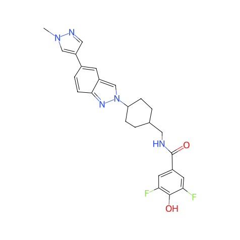 Cn1cc(-c2ccc3nn(C4CCC(CNC(=O)c5cc(F)c(O)c(F)c5)CC4)cc3c2)cn1